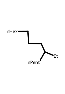 [CH2]CCCCCCCCC(CC)CCCC[CH2]